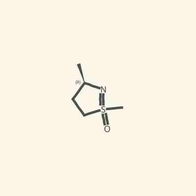 C[C@@H]1CCS(C)(=O)=N1